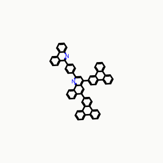 c1ccc2c(c1)nc(-c1ccc(-c3cc(-c4ccc5c6ccccc6c6ccccc6c5c4)c4cc(-c5ccc6c7ccccc7c7ccccc7c6c5)c5ccccc5c4n3)cc1)c1ccccc12